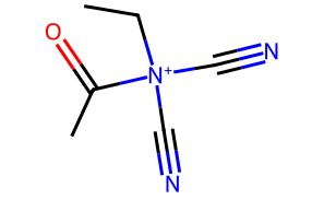 CC[N+](C#N)(C#N)C(C)=O